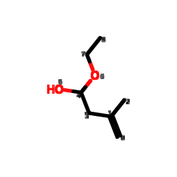 C=C(C)[CH]C(O)OCC